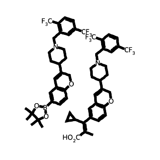 C/C(C(=O)O)=C(\c1ccc2c(c1)C=C(C1CCN(Cc3cc(C(F)(F)F)ccc3C(F)(F)F)CC1)CO2)C1CC1.CC1(C)OB(c2ccc3c(c2)C=C(C2CCN(Cc4cc(C(F)(F)F)ccc4C(F)(F)F)CC2)CO3)OC1(C)C